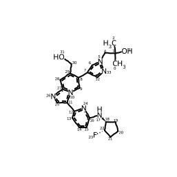 CC(C)(O)Cn1cc(-c2cn3c(-c4cccc(N[C@H]5CCC[C@@H]5F)n4)cnc3cc2CO)cn1